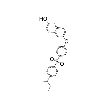 CCC(C)c1ccc(S(=O)(=O)c2ccc(Oc3ccc4cc(O)ccc4c3)cc2)cc1